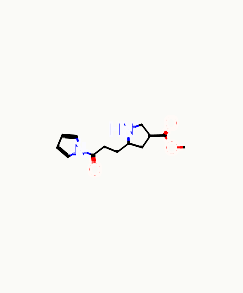 COC(=O)C1CNC(CCC(=O)n2cccc2)C1